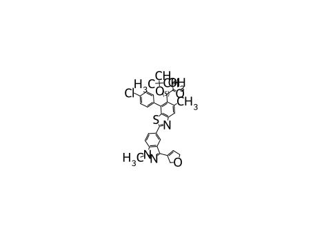 Cc1cc2nc(-c3ccc4c(c3)c(C3=CCOC3)nn4C)sc2c(-c2ccc(Cl)cc2)c1[C@H](OC(C)(C)C)C(=O)O